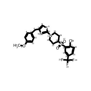 COc1ccc(Cc2csc(N3CCC(S(=O)(=O)c4cc(C(F)(F)F)ccc4Cl)CC3)n2)cc1